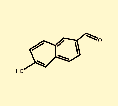 O=[C]c1ccc2cc(O)ccc2c1